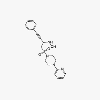 O=S(=O)(CC(C#Cc1ccccc1)NO)N1CCN(c2ccccn2)CC1